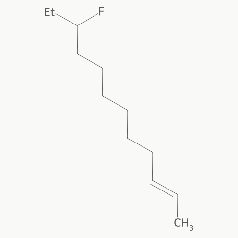 CC=CCCCCCCC(F)CC